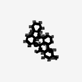 CN(C(=O)c1c(C=O)cccc1-n1c2ccccc2c2ccccc21)c1ccc(F)cc1